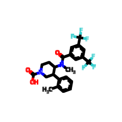 Cc1ccccc1C1CN(C(=O)O)CCC1N(C)C(=O)c1cc(C(F)(F)F)cc(C(F)(F)F)c1